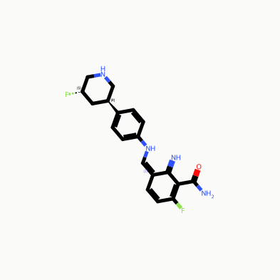 N=C1C(C(N)=O)=C(F)C=C/C1=C/Nc1ccc([C@@H]2CNC[C@@H](F)C2)cc1